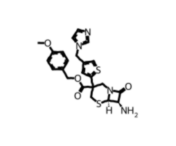 COc1ccc(COC(=O)C2(c3cc(Cn4ccnc4)cs3)CS[C@@H]3[C@H](N)C(=O)N3C2)cc1